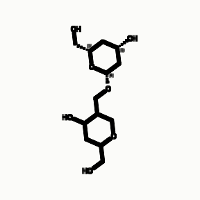 OCC1CC(O)C(CO[C@H]2C[C@@H](O)C[C@@H](CO)O2)CO1